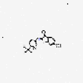 O=C1/C(=C/c2ccc(C(F)(F)F)nc2)Cc2cc(O)ccc21